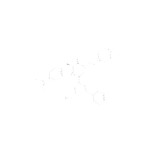 CN1CCN(CCNC(=O)[C@H](Cc2ccc([N+](=O)[O-])cc2)NC(=O)N(CCO)CCc2ccccc2)CC1